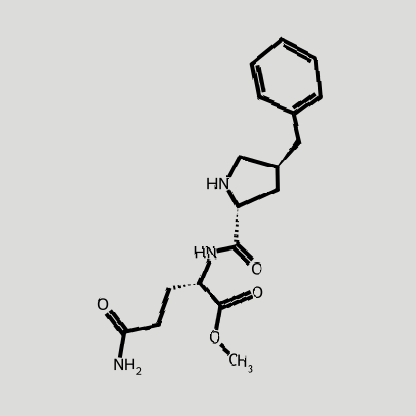 COC(=O)[C@H](CCC(N)=O)NC(=O)[C@H]1C[C@H](Cc2ccccc2)CN1